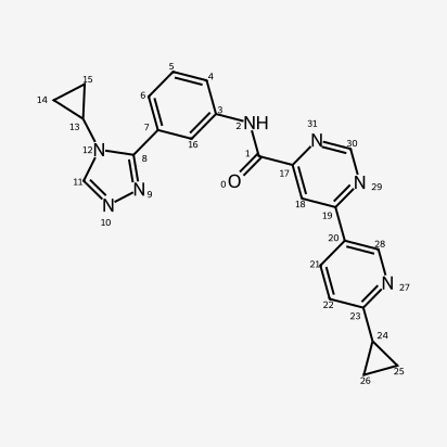 O=C(Nc1cccc(-c2nncn2C2CC2)c1)c1cc(-c2ccc(C3CC3)nc2)ncn1